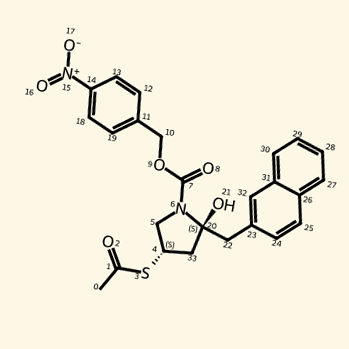 CC(=O)S[C@@H]1CN(C(=O)OCc2ccc([N+](=O)[O-])cc2)[C@](O)(Cc2ccc3ccccc3c2)C1